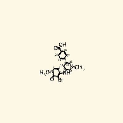 CN1C[C@H](Nc2ccn(C)c(=O)c2Br)C[C@H](c2ccc(C(=O)O)cc2)C1